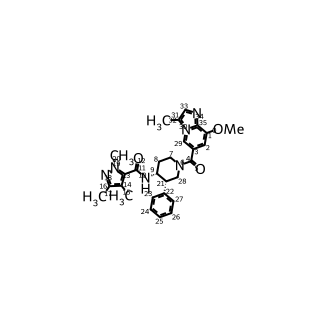 COc1cc(C(=O)N2CC[C@@H](NC(=O)c3c(C)c(C)nn3C)[C@@H](c3ccccc3)C2)cn2c(C)cnc12